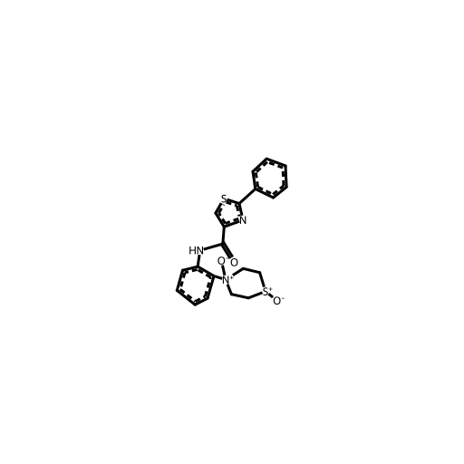 O=C(Nc1ccccc1[N+]1([O-])CC[S+]([O-])CC1)c1csc(-c2ccccc2)n1